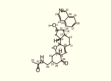 CO[C@@H]1C[C@H]2[C@@H]3OC4=C(C=C3CC[C@]2(C)[C@H]1c1cccc2cnccc12)C(=O)CC(CNC(C)=O)C4